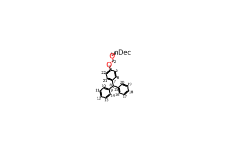 CCCCCCCCCCOCOc1ccc([C](c2ccccc2)c2ccccc2)cc1